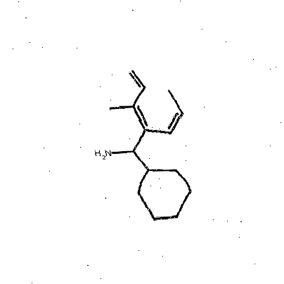 C=C/C(C)=C(\C=C/C)C(N)C1CCCCC1